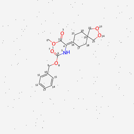 COC(=O)C(NC(=O)OCc1ccccc1)=C1CCC2(CC1)COOC2